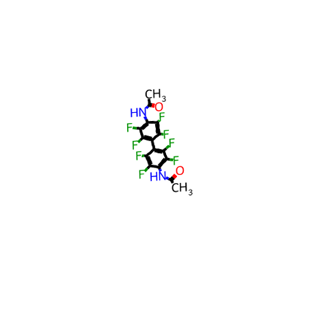 CC(=O)Nc1c(F)c(F)c(-c2c(F)c(F)c(NC(C)=O)c(F)c2F)c(F)c1F